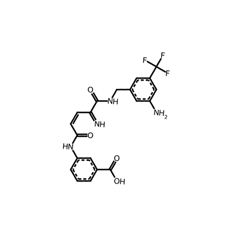 N=C(/C=C\C(=O)Nc1cccc(C(=O)O)c1)C(=O)NCc1cc(N)cc(C(F)(F)F)c1